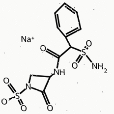 NS(=O)(=O)C(C(=O)NC1CN(S(=O)(=O)[O-])C1=O)c1ccccc1.[Na+]